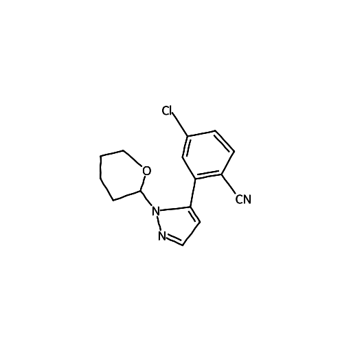 N#Cc1ccc(Cl)cc1-c1ccnn1C1CCCCO1